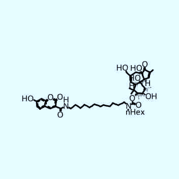 CCCCCCN(CCCCCCCCCCCCNC(=O)c1cc2ccc(O)cc2oc1=O)C(=O)O[C@]1(C)[C@H](O)[C@@H](C)[C@@]2(O)[C@@H](C=C(CO)C[C@]3(O)C(=O)C(C)=C[C@@H]23)C1(C)C